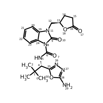 CC(C)(C)[C@H](NC(=O)n1c(=O)n(C[C@H]2CCC(=O)O2)c2ccccc21)c1nnc(N)o1